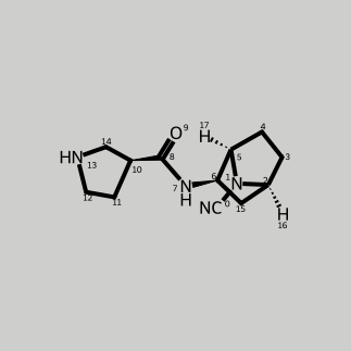 N#CN1[C@H]2CC[C@@H]1[C@H](NC(=O)[C@H]1CCNC1)C2